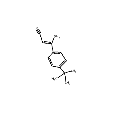 CC(C)(C)c1ccc(/C(N)=C/C#N)cc1